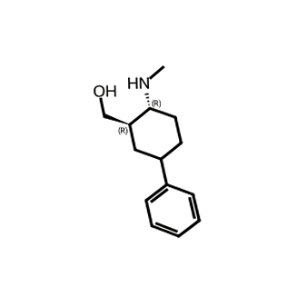 CN[C@@H]1CCC(c2ccccc2)C[C@H]1CO